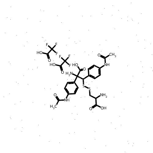 CC(=O)Nc1ccc(C(SSCC(N)C(=O)O)C(N)(C(=O)O)c2ccc(NC(C)=O)cc2)cc1.O=C(O)C(F)(F)F.O=C(O)C(F)(F)F